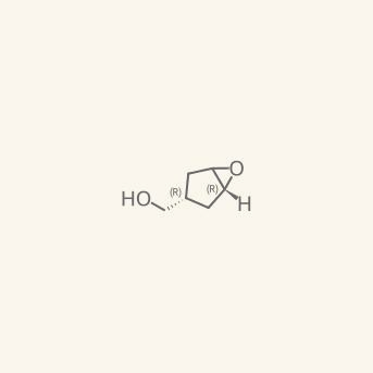 OC[C@@H]1CC2O[C@@H]2C1